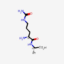 CC(C)[C@H](NC(=O)[C@@H](N)CCCNC(N)=O)C(=O)O